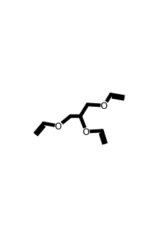 C=COCC(COC=C)OC=C